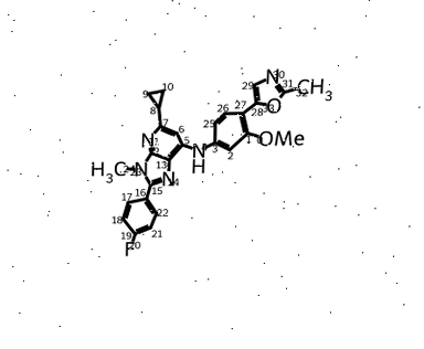 COc1cc(Nc2cc(C3CC3)nc3c2nc(-c2ccc(F)cc2)n3C)ccc1-c1cnc(C)o1